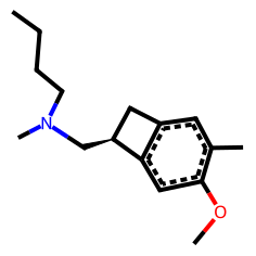 CCCCN(C)C[C@H]1Cc2cc(C)c(OC)cc21